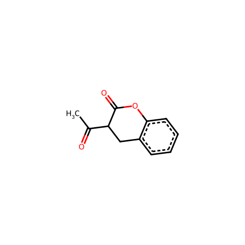 CC(=O)C1Cc2ccccc2OC1=O